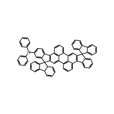 C1=CC2c3ccccc3C3(c4cc(N(c5ccccc5)c5ccccc5)ccc4-c4c3cc3c5cccc6c7c(cc(c8cccc4c83)c65)C3(c4ccccc4-c4ccccc43)c3ccccc3-7)C2C=C1